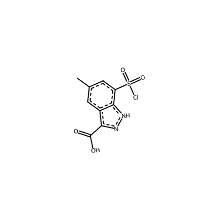 Cc1cc(S(=O)(=O)Cl)c2[nH]nc(C(=O)O)c2c1